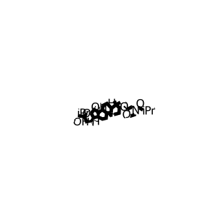 CC(C)C(=O)N1CCO[C@@H](O[C@H]2CC[C@]34C[C@]35CC[C@]3(C)[C@@H]6C(OC([C@H](O)C(C)C)C[C@H]6C)[C@H](O)[C@@]3(C)C5CC[C@H]4C2(C)C)C1